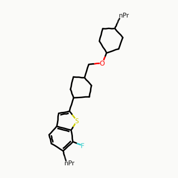 CCCc1ccc2cc(C3CCC(COC4CCC(CCC)CC4)CC3)sc2c1F